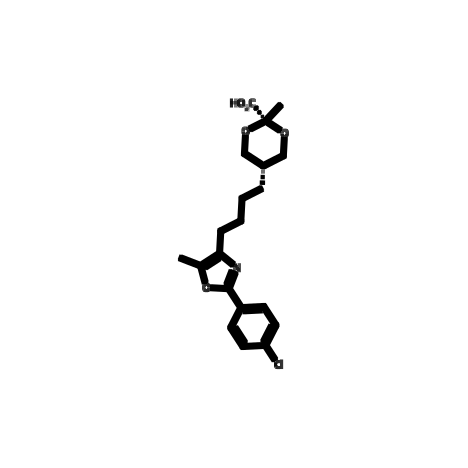 Cc1oc(-c2ccc(Cl)cc2)nc1CCCC[C@H]1CO[C@@](C)(C(=O)O)OC1